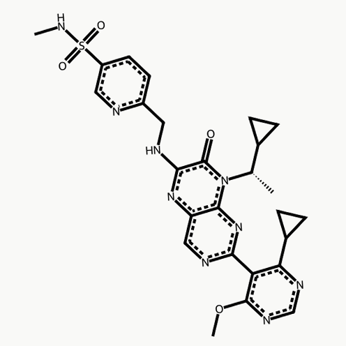 CNS(=O)(=O)c1ccc(CNc2nc3cnc(-c4c(OC)ncnc4C4CC4)nc3n([C@@H](C)C3CC3)c2=O)nc1